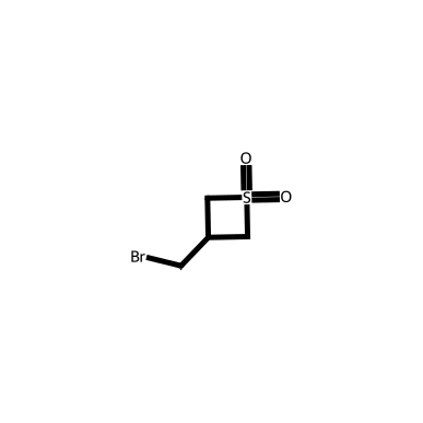 O=S1(=O)CC([CH]Br)C1